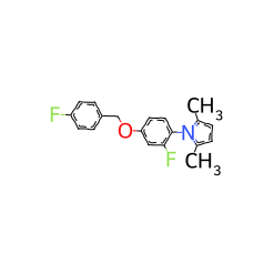 Cc1ccc(C)n1-c1ccc(OCc2ccc(F)cc2)cc1F